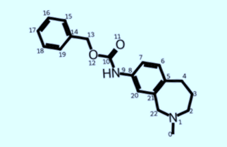 CN1CCCc2ccc(NC(=O)OCc3ccccc3)cc2C1